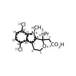 CCCC1(CC(=O)O)OCCc2c1n(C)c1c(Cl)ccc(Cl)c21